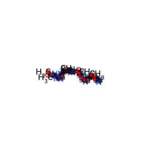 C=CC(=O)N1CC=C(c2ncc3ncnc(Nc4ccc(Oc5ccn6nc(C=CC(=O)N7CC=C(c8ncc9ncnc(Nc%10ccc(Oc%11ccn%12ncnc%12c%11)c(C)c%10)c9n8)C[C@@H]7C)nc6c5)c(C)c4)c3n2)C[C@H]1C